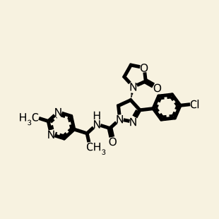 Cc1ncc(C(C)NC(=O)N2C[C@H](N3CCOC3=O)C(c3ccc(Cl)cc3)=N2)cn1